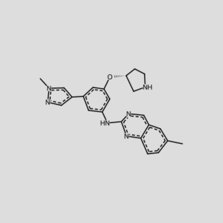 Cc1ccc2nc(Nc3cc(O[C@@H]4CCNC4)cc(-c4cnn(C)c4)c3)ncc2c1